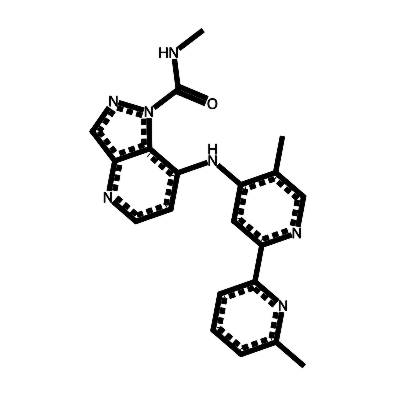 CNC(=O)n1ncc2nccc(Nc3cc(-c4cccc(C)n4)ncc3C)c21